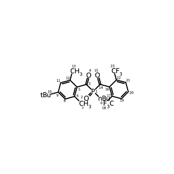 CCCCP(=O)(C(=O)c1c(C)cc(C(C)(C)C)cc1C)C(=O)c1c(C(F)(F)F)cccc1C(F)(F)F